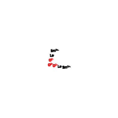 [La].[La].[O-2].[O-2].[O-2].[Sm+3].[Sm+3]